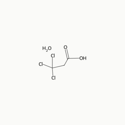 O.O=C(O)CC(Cl)(Cl)Cl